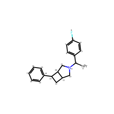 CCCC(c1ccc(F)cc1)N1CC2CC(c3ccccc3)C2C1